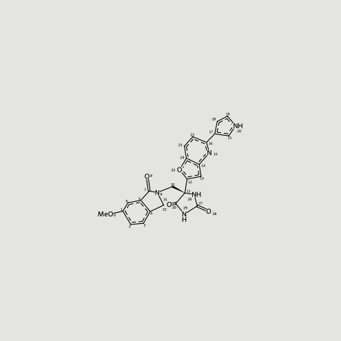 COc1ccc2c(c1)C(=O)N(C[C@@]1(c3cc4nc(-c5cc[nH]c5)ccc4o3)NC(=O)NC1=O)C2